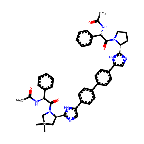 COC(=O)N[C@H](C(=O)N1CCC[C@@H]1c1ncc(-c2ccc(-c3ccc(-c4cnc([C@H]5C[Si](C)(C)CN5C(=O)[C@@H](NC(=O)OC)c5ccccc5)[nH]4)cc3)cc2)[nH]1)c1ccccc1